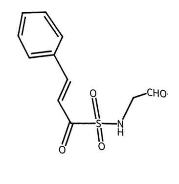 O=[C]CNS(=O)(=O)C(=O)/C=C/c1ccccc1